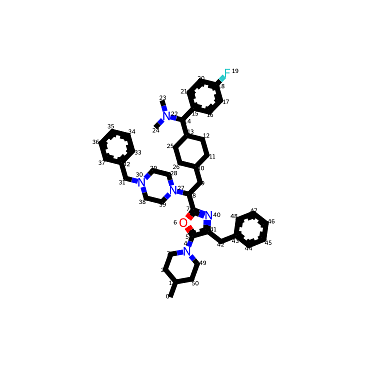 CC1CCN(c2oc(C(CC3CCC(C(c4ccc(F)cc4)N(C)C)CC3)N3CCN(Cc4ccccc4)CC3)nc2Cc2ccccc2)CC1